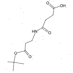 CC(C)(C)OC(=O)CCNC(=O)CCC(=O)O